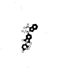 CCN[C@@H]1c2ccccc2C[C@@H]1N(C)c1ccc2c(c1)C(=O)N(C1CCC(=O)NC1=O)C2=O